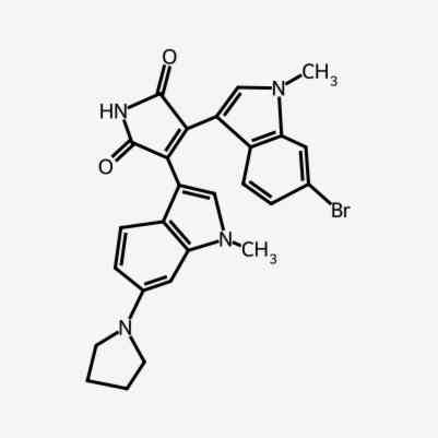 Cn1cc(C2=C(c3cn(C)c4cc(N5CCCC5)ccc34)C(=O)NC2=O)c2ccc(Br)cc21